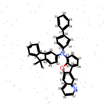 CC1(C)c2ccccc2-c2cc(N(c3ccc(-c4ccccc4)cc3)c3cccc4c3oc3cc5cccnc5cc34)ccc21